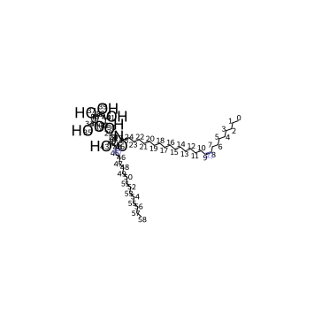 CCCCCCCC/C=C\CCCCCCCCCCCCCCCC(=O)N[C@@H](CO[C@@H]1OC(CO)[C@H](O)[C@H](O)C1O)[C@H](O)/C=C/CCCCCCCCCCCCC